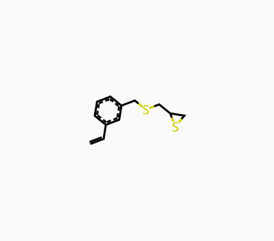 C=Cc1cccc(CSCC2CS2)c1